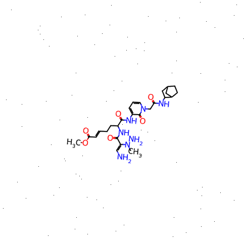 COC(=O)/C=C/CCC(NC(=O)/C(=C/N)N(C)N)C(=O)Nc1cccn(CC(=O)NC2CC3CCC2C3)c1=O